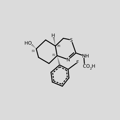 O=C(O)NC1=N[C@@]2(c3ccccc3F)CC[C@H](O)C[C@H]2CS1